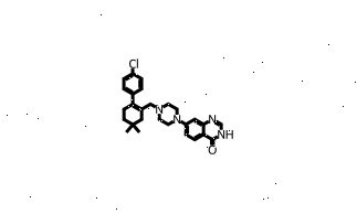 CC1(C)CCC(c2ccc(Cl)cc2)=C(CN2CCN(c3ccc4c(=O)[nH]cnc4c3)CC2)C1